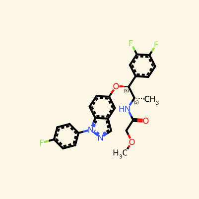 COCC(=O)N[C@@H](C)[C@@H](Oc1ccc2c(cnn2-c2ccc(F)cc2)c1)c1ccc(F)c(F)c1